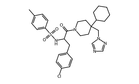 Cc1ccc(S(=O)(=O)NC(Cc2ccc(Cl)cc2)C(=O)N2CCC(Cn3cncn3)(C3CCCCC3)CC2)cc1